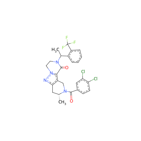 CC(c1ccccc1C(F)(F)F)N1CCn2nc3c(c2C1=O)CN(C(=O)c1ccc(Cl)c(Cl)c1)[C@H](C)C3